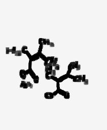 CC(C)=C(C)C(=O)[O-].CC(C)=C(C)C(=O)[O-].[Pb+2]